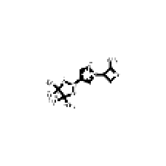 CC1OCC1n1cc(B2OC(C)(C)C(C)(C)O2)cn1